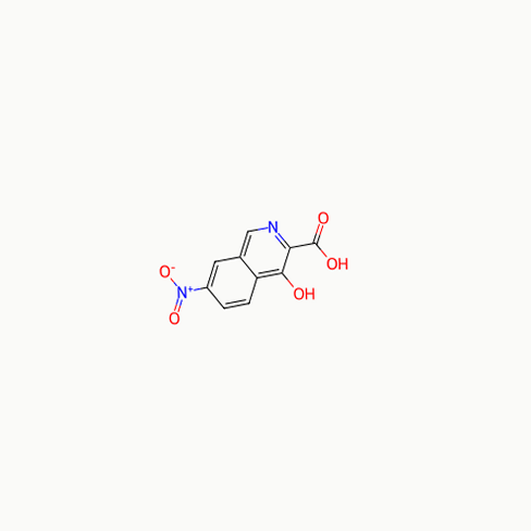 O=C(O)c1ncc2cc([N+](=O)[O-])ccc2c1O